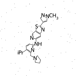 CC(C)c1ccc(Nc2cc3nc(-c4cnn(C)c4)sc3cn2)nc1CN1CCCC1